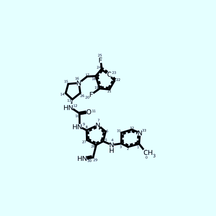 Cc1cc(Nc2cnc(NC(=O)N[C@@H]3CCN(Cc4c(F)cccc4F)C3)cc2C=N)ccn1